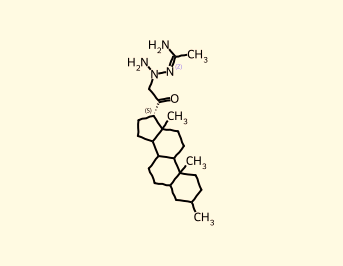 C/C(N)=N/N(N)CC(=O)[C@H]1CCC2C3CCC4CC(C)CCC4(C)C3CCC21C